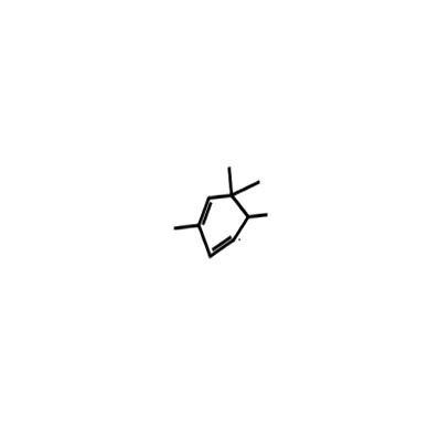 CC1=CC(C)(C)C(C)[C]=C1